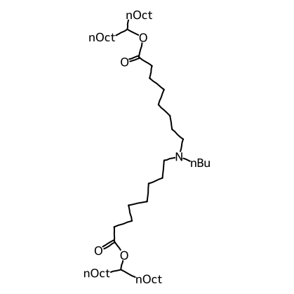 CCCCCCCCC(CCCCCCCC)OC(=O)CCCCCCCN(CCCC)CCCCCCCC(=O)OC(CCCCCCCC)CCCCCCCC